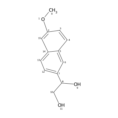 COc1ccc2cc(C(O)CO)ccc2c1